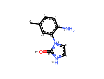 Cc1ccc(N)c(-n2cc[nH]c2=O)c1